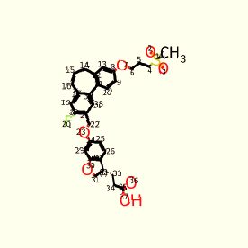 CS(=O)(=O)CCCOc1ccc2c(c1)CCCc1cc(F)c(COc3ccc4c(c3)OC[C@H]4CCC(=O)O)cc1-2